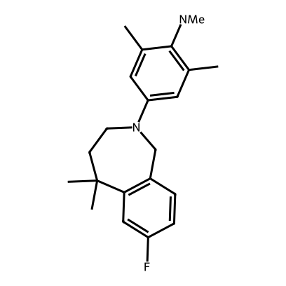 CNc1c(C)cc(N2CCC(C)(C)c3cc(F)ccc3C2)cc1C